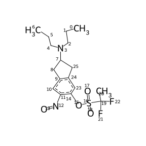 CCCN(CCC)C1Cc2cc(N=O)c(OS(=O)(=O)C(C)(F)F)cc2C1